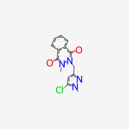 Cn1nc(Cn2c(=O)c3ccccc3c(=O)n2C)cc1Cl